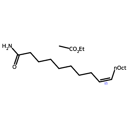 CCCCCCCC/C=C\CCCCCCCC(N)=O.CCOC(C)=O